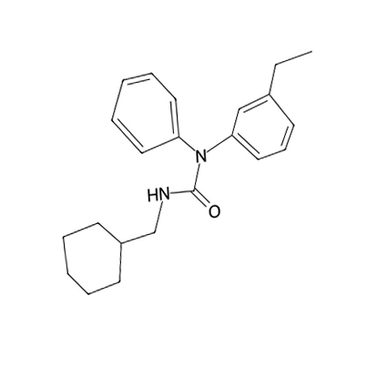 CCc1cccc(N(C(=O)NCC2CCCCC2)c2ccccc2)c1